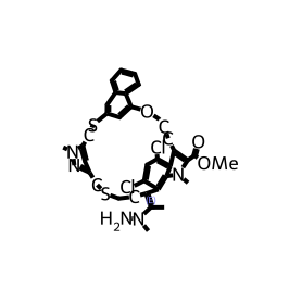 COC(=O)c1c2c3c(Cl)cc(Cl)c(c3n1C)/C(=C(\C)N(C)N)CCSCc1cc(n(C)n1)CSc1cc(c3ccccc3c1)OCCC2